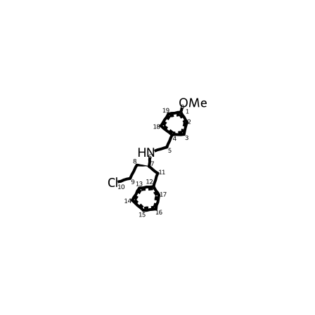 COc1ccc(CN[C@H](CCCl)Cc2ccccc2)cc1